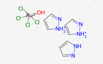 C1=C[NH2+]N=C1.C1=C[NH2+]N=C1.[OH][Ru-2]([Cl])([Cl])([Cl])[Cl].c1cn[nH]c1